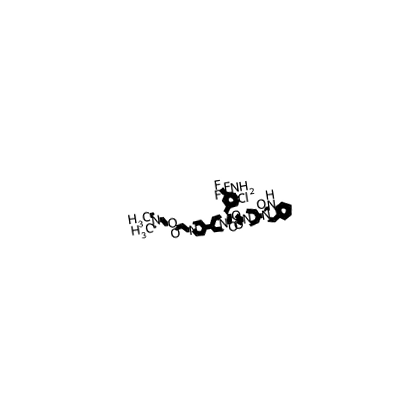 CCN(CC)CCOC(=O)CCN1CCC(C2CCN(C(=O)[C@@H](Cc3cc(Cl)c(N)c(C(F)(F)F)c3)OC(=O)N3CCC(N4CCc5ccccc5NC4=O)CC3)CC2)CC1